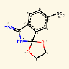 N=C1NC2(OCCO2)c2cc([N+](=O)[O-])ccc21